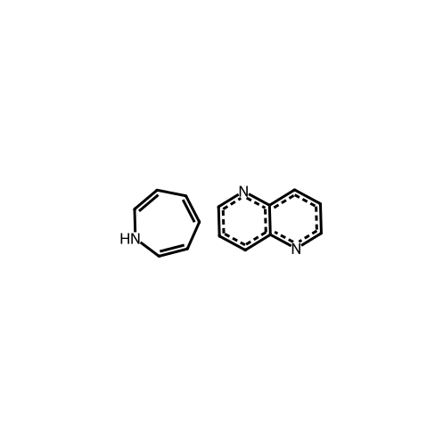 C1=CC=CNC=C1.c1cnc2cccnc2c1